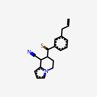 C=CCc1cccc(C(=S)C2CCn3cccc3C2C#N)c1